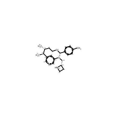 Cc1ccc(COCC[C@@H](C)[C@H](C)c2cncc(OC[C@@H]3CCN3)c2)cc1